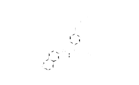 NCC[C@@H](C(=O)Nc1ccc2cnccc2c1)c1ccc(COSS)cc1